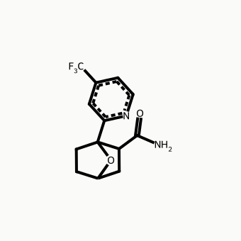 NC(=O)C1CC2CCC1(c1cc(C(F)(F)F)ccn1)O2